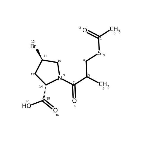 CC(=O)SCC(C)C(=O)N1C[C@H](Br)C[C@H]1C(=O)O